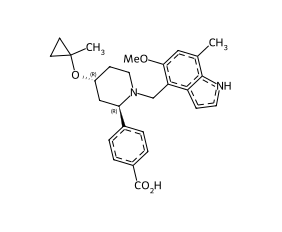 COc1cc(C)c2[nH]ccc2c1CN1CC[C@@H](OC2(C)CC2)C[C@@H]1c1ccc(C(=O)O)cc1